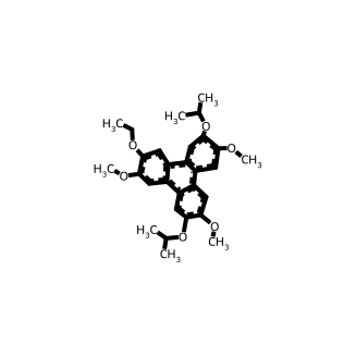 CCOc1cc2c(cc1OC)c1cc(OC(C)C)c(OC)cc1c1cc(OC)c(OC(C)C)cc12